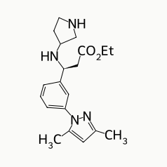 CCOC(=O)C[C@H](NC1CCNC1)c1cccc(-n2nc(C)cc2C)c1